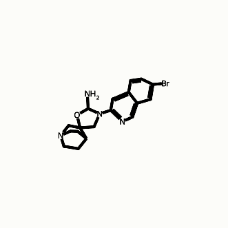 NC1OC2(CN3CCC2CC3)CN1c1cc2ccc(Br)cc2cn1